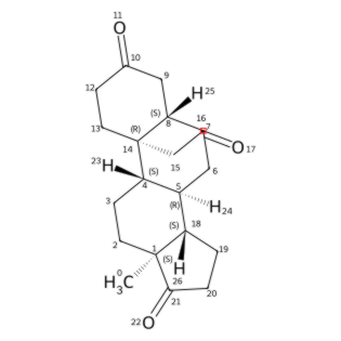 C[C@]12CC[C@H]3[C@@H](CC[C@H]4CC(=O)CC[C@@]43CC=O)[C@@H]1CCC2=O